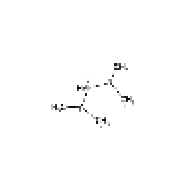 C[CH](C)[AlH][CH](C)C